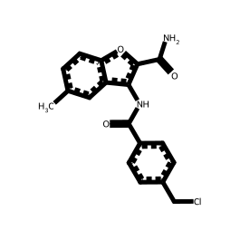 Cc1ccc2oc(C(N)=O)c(NC(=O)c3ccc(CCl)cc3)c2c1